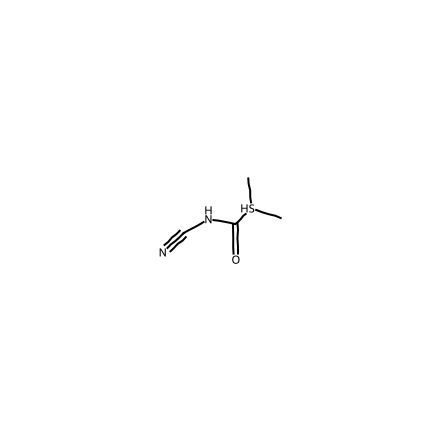 C[SH](C)C(=O)NC#N